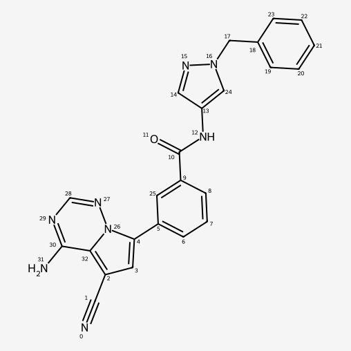 N#Cc1cc(-c2cccc(C(=O)Nc3cnn(Cc4ccccc4)c3)c2)n2ncnc(N)c12